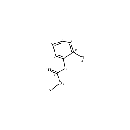 [CH2]OC(=O)Cc1ccccc1Cl